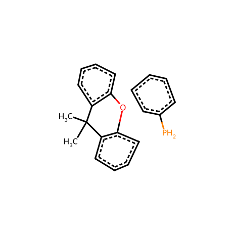 CC1(C)c2ccccc2Oc2ccccc21.Pc1ccccc1